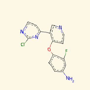 Nc1ccc(Oc2ccncc2-c2ccnc(Cl)n2)c(F)c1